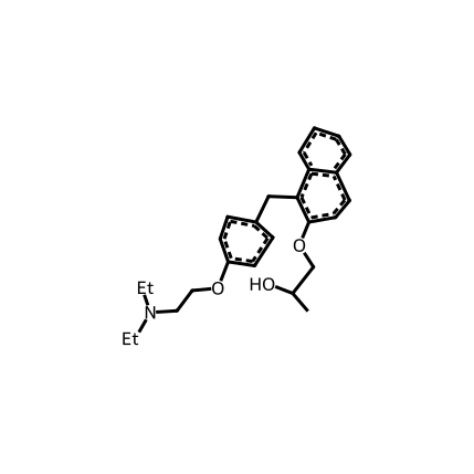 CCN(CC)CCOc1ccc(Cc2c(OCC(C)O)ccc3ccccc23)cc1